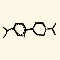 CC(C)c1ccc(C2CCN(C(C)C)CC2)nc1